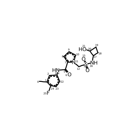 Cc1cc(NC(=O)c2cccn2CS(=O)(=O)NC2CCC2O)ccc1F